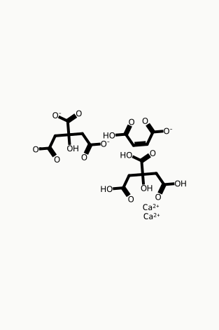 O=C(O)CC(O)(CC(=O)O)C(=O)O.O=C([O-])/C=C\C(=O)O.O=C([O-])CC(O)(CC(=O)[O-])C(=O)[O-].[Ca+2].[Ca+2]